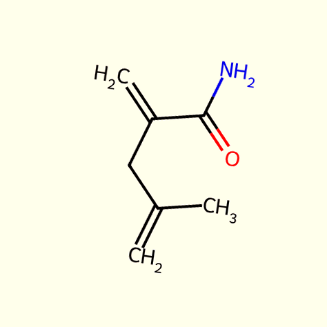 C=C(C)CC(=C)C(N)=O